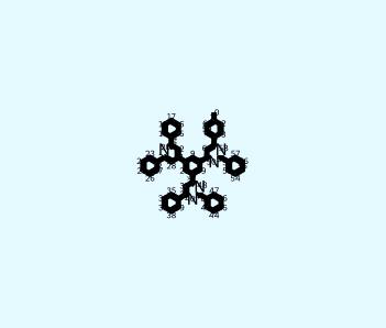 Cc1ccc(-c2cc(-c3cc(-c4cc(-c5ccccc5)nc(-c5ccccc5)c4)cc(-c4cc(-c5ccccc5)nc(-c5ccccc5)n4)c3)nc(-c3ccccc3)n2)cc1